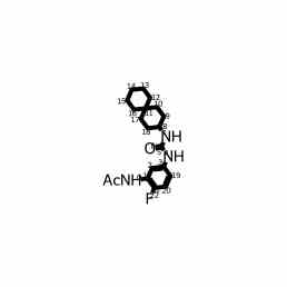 CC(=O)Nc1cc(NC(=O)NC2CCC3(CCCCC3)CC2)ccc1F